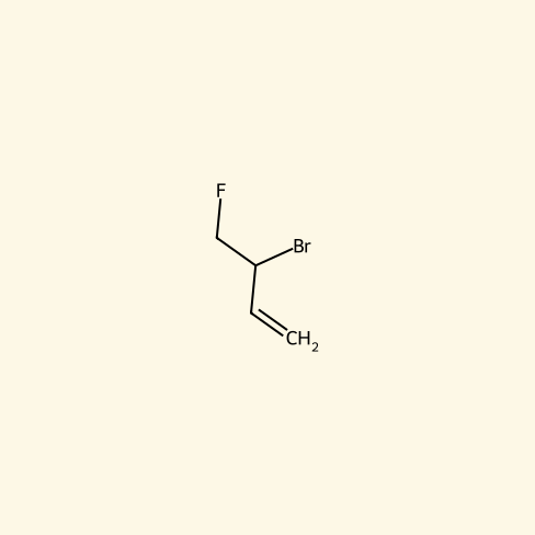 C=CC(Br)CF